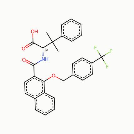 CC(C)(c1ccccc1)[C@H](NC(=O)c1ccc2ccccc2c1OCc1ccc(C(F)(F)F)cc1)C(=O)O